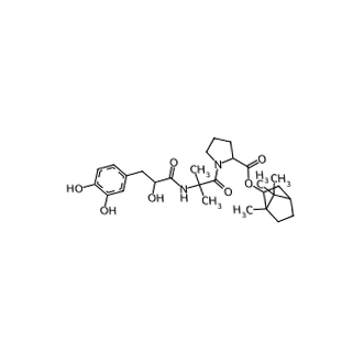 CC(C)(NC(=O)C(O)Cc1ccc(O)c(O)c1)C(=O)N1CCCC1C(=O)OC1CC2CCC1(C)C2(C)C